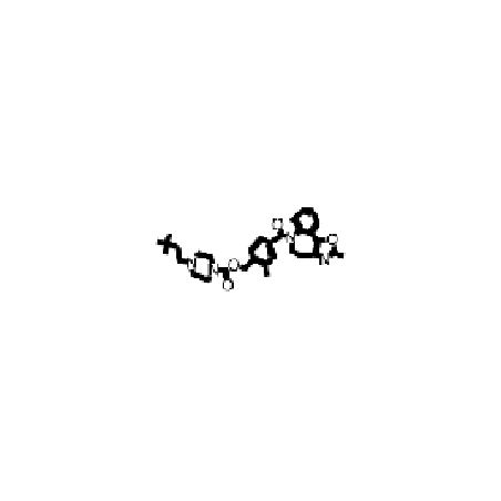 Cc1nc2c(o1)-c1ccccc1N(C(=O)c1ccc(COC(=O)N3CCN(CCC(C)(C)C)CC3)c(C)c1)CC2